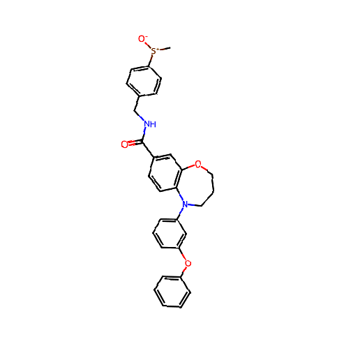 C[S+]([O-])c1ccc(CNC(=O)c2ccc3c(c2)OCCCN3c2cccc(Oc3ccccc3)c2)cc1